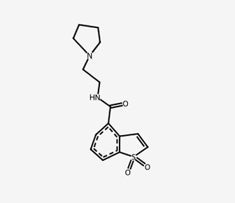 O=C(NCCN1CCCC1)c1cccc2c1C=CS2(=O)=O